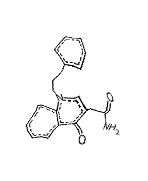 NC(=O)c1cn(Cc2ccccc2)c2ccccc2c1=O